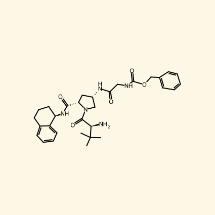 CC(C)(C)[C@H](N)C(=O)N1C[C@@H](NC(=O)CNC(=O)OCc2ccccc2)C[C@H]1C(=O)N[C@@H]1CCCc2ccccc21